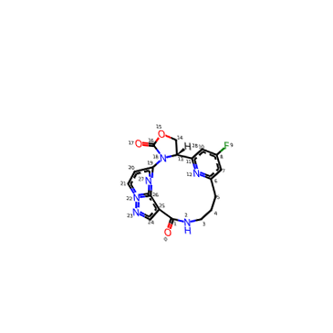 O=C1NCCCc2cc(F)cc(n2)[C@H]2COC(=O)N2c2ccn3ncc1c3n2